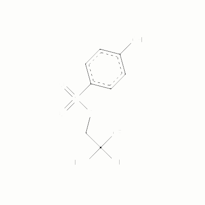 Cc1ccc(S(=O)(=O)OCC(C)(O)C(F)(F)F)cc1